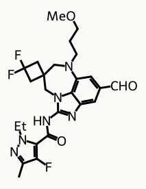 CCn1nc(C)c(F)c1C(=O)Nc1nc2cc(C=O)cc3c2n1CC1(CN3CCCOC)CC(F)(F)C1